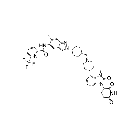 Cc1cc2nn([C@H]3CC[C@H](CN4CCC(c5cccc6c5n(C)c(=O)n6C5CCC(=O)NC5=O)CC4)CC3)cc2cc1NC(=O)c1cccc(C(F)(F)F)n1